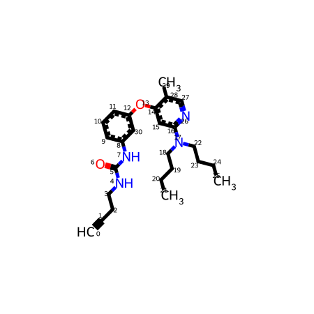 C#CCCNC(=O)Nc1cccc(Oc2cc(N(CCCC)CCCC)ncc2C)c1